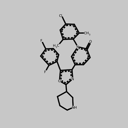 Cc1cc(Cl)cc(C)c1-n1cc(-c2nc(C3CCCNC3)oc2-c2ccc(F)cc2F)ccc1=O